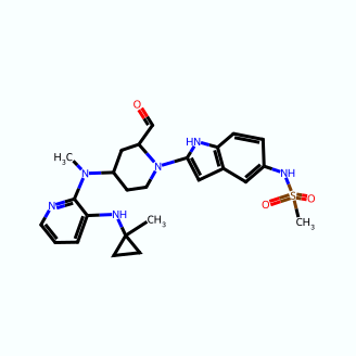 CN(c1ncccc1NC1(C)CC1)C1CCN(c2cc3cc(NS(C)(=O)=O)ccc3[nH]2)C(C=O)C1